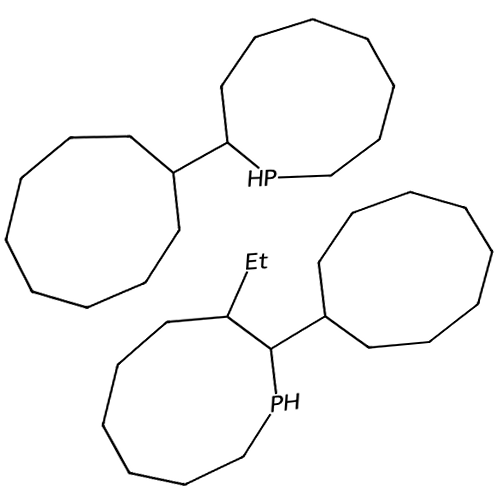 C1CCCCC(C2CCCCCCCP2)CCC1.CCC1CCCCCCPC1C1CCCCCCCC1